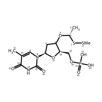 CSS[C@@H](C)OC1C[C@H](n2cc(C)c(=O)[nH]c2=O)O[C@@H]1COP(=O)(O)O